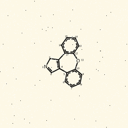 C1=NCC2=C1c1ccccc1Oc1ccccc12